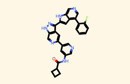 O=C(Nc1cncc(-c2cc3c(-c4cc5c(-c6ccccc6F)cncc5[nH]4)n[nH]c3cn2)c1)C1CCC1